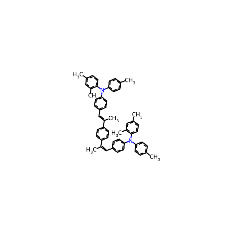 CC(=Cc1ccc(N(c2ccc(C)cc2)c2ccc(C)cc2C)cc1)c1ccc(C(C)=Cc2ccc(N(c3ccc(C)cc3)c3ccc(C)cc3C)cc2)cc1